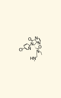 CCN(CCNC)C(=O)C[C@H]1c2nccnc2C(=O)N1c1ccc(Cl)cn1